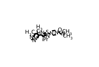 Cc1c(-c2[nH]c3sc(N4CCN(C(=O)CN(C)C)CC4)nc3c2C(C)C)cn2ncnc2c1C